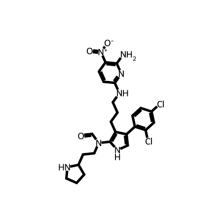 Nc1nc(NCCCc2c(-c3ccc(Cl)cc3Cl)c[nH]c2N(C=O)CCC2CCCN2)ccc1[N+](=O)[O-]